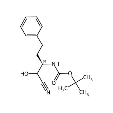 CC(C)(C)OC(=O)N[C@H](CCc1ccccc1)C(O)C#N